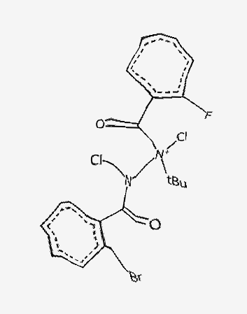 CC(C)(C)[N+](Cl)(C(=O)c1ccccc1F)N(Cl)C(=O)c1ccccc1Br